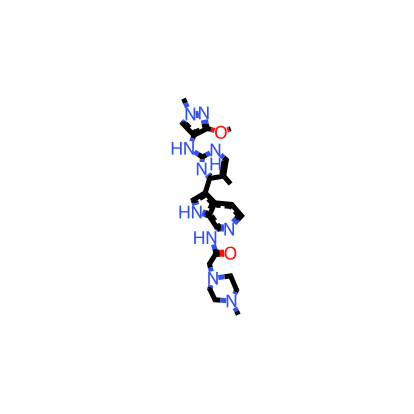 COc1nn(C)cc1NC1N=C(c2c[nH]c3c(NC(=O)CN4CCN(C)CC4)nccc23)C(C)=CN1